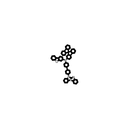 c1ccc2c(c1)-c1ccccc1C21c2ccccc2-c2ccc(N(c3ccc(-c4ccc(-n5c6ccccc6n6c7ccccc7nc56)cc4)cc3)c3ccc4c(c3)oc3ccccc34)cc21